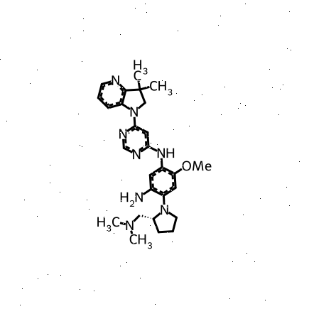 COc1cc(N2CCC[C@@H]2CN(C)C)c(N)cc1Nc1cc(N2CC(C)(C)c3ncccc32)ncn1